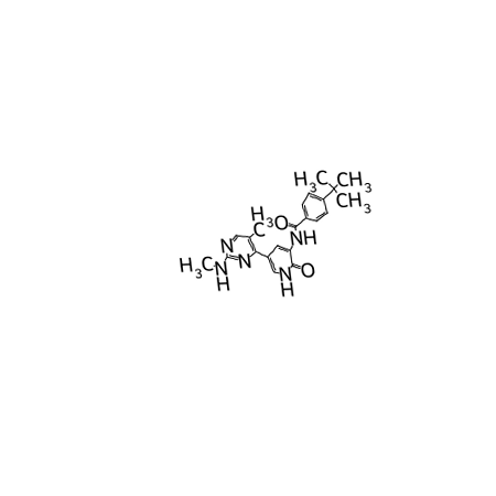 CNc1ncc(C)c(-c2c[nH]c(=O)c(NC(=O)c3ccc(C(C)(C)C)cc3)c2)n1